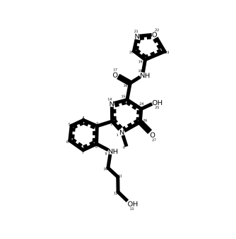 Cn1c(-c2ccccc2NCCCO)nc(C(=O)Nc2cnoc2)c(O)c1=O